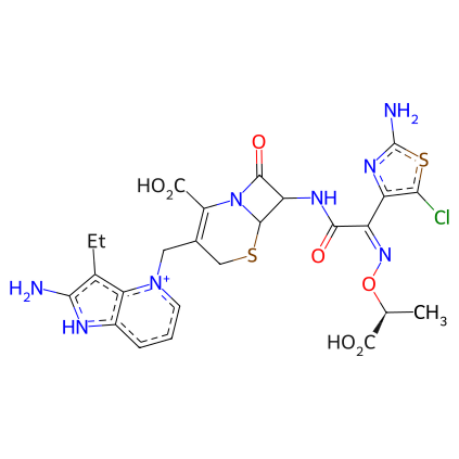 CCc1c(N)[nH]c2ccc[n+](CC3=C(C(=O)O)N4C(=O)C(NC(=O)/C(=N\O[C@@H](C)C(=O)O)c5nc(N)sc5Cl)C4SC3)c12